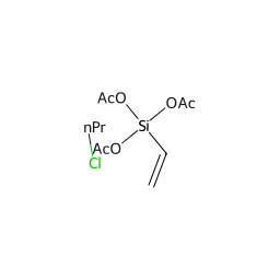 C=C[Si](OC(C)=O)(OC(C)=O)OC(C)=O.[CH2]CCCl